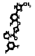 Cc1nnc(-c2ccc(F)c(OC3CN(C(=O)N4N=CC[C@H]4c4cc(F)cc(F)c4)C3)n2)s1